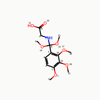 COc1ccc(C(NCC(=O)O)(OC)OC)c(OC)c1OC